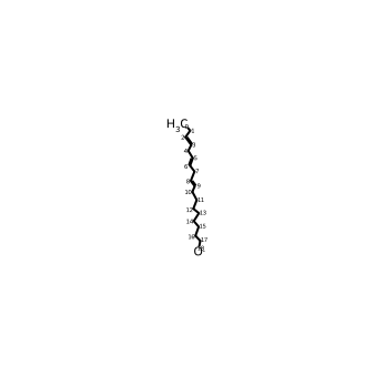 CCC=CCC=CCC=CCCCCCCCC[O]